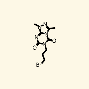 Cc1nn(C)c2nc(=O)n(CCCBr)c(=O)n12